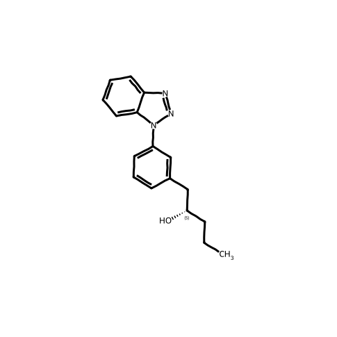 CCC[C@H](O)Cc1cccc(-n2nnc3ccccc32)c1